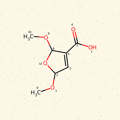 COC1C=C(C(=O)O)C(OC)O1